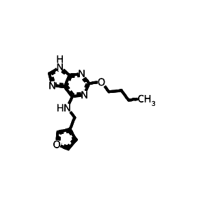 CCCCOc1nc(NCc2ccoc2)c2nc[nH]c2n1